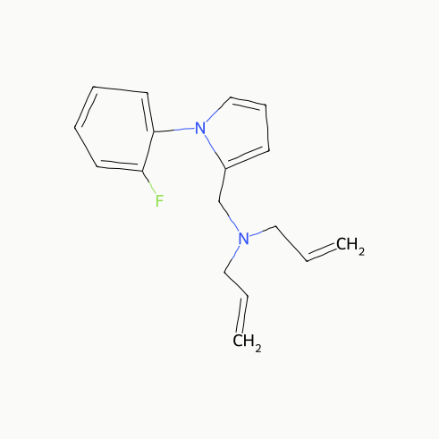 C=CCN(CC=C)Cc1cccn1-c1ccccc1F